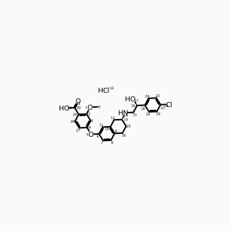 COc1cc(Oc2ccc3c(c2)C[C@@H](NC[C@@H](O)c2ccc(Cl)cc2)CC3)ccc1C(=O)O.Cl